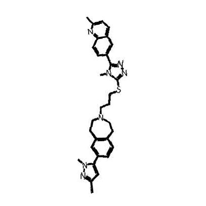 Cc1ccc2cc(-c3nnc(SCCCN4CCc5ccc(-c6cc(C)nn6C)cc5CC4)n3C)ccc2n1